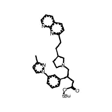 Cc1ccn(-c2cccc(C(CC(=O)OC(C)(C)C)CN3CCC(CCc4ccc5cccnc5n4)C3)c2)n1